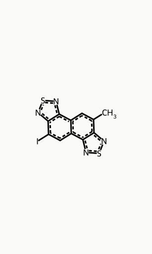 Cc1cc2c(cc(I)c3nsnc32)c2nsnc12